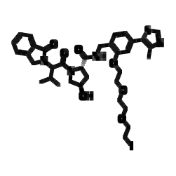 Cc1ncsc1-c1ccc(CNC(=O)[C@@H]2C[C@@H](O)CN2C(=O)C(C(C)C)N2Cc3ccccc3C2=O)c(OCCOCCOCCI)c1